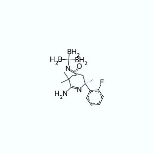 BC(B)(B)N=S1(=O)C[C@@](C)(c2ccccc2F)N=C(N)C1(C)C